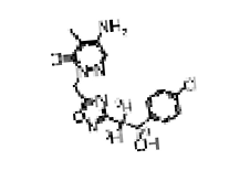 [2H]C([2H])(c1noc(Cn2ncc(N)c(C)c2=O)n1)[C@H](O)c1ccc(Cl)cc1